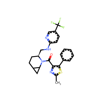 Cc1nc(C(=O)N2C3CC3CC[C@H]2CNc2ccc(C(F)(F)F)cn2)c(-c2ccccc2)s1